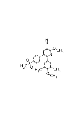 COc1nc(-c2cc(C)c(OC)c(C)c2)c(-c2ccc(S(C)(=O)=O)cc2)cc1C#N